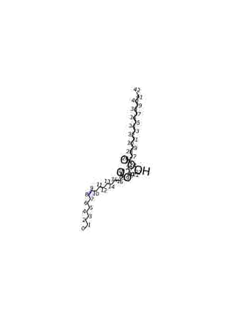 CCCCCCCC/C=C\CCCCCCCC(=O)O[C@@H](CO)COC(=O)CCCCCCCCCCCCCCCC